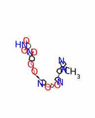 Cn1c2ccncc2c2ccc(-c3ccc(OC4CC(Oc5ccc(C#CCOCCOc6ccc7c(c6)CN(C6CCC(=O)NC6=O)C7=O)nc5)C4)nc3)cc21